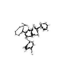 CC(=O)N1CCCCC1c1cc2[nH]c(-c3ccccn3)nc2cc1Oc1ccc(F)cc1